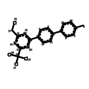 Cc1ccc(-c2ccc(-c3nc(CCl)nc(C(Cl)(Cl)Cl)n3)cc2)cc1